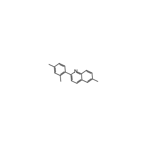 Cc1ccc(-c2ccc3cc(C)ccc3n2)c(C)c1